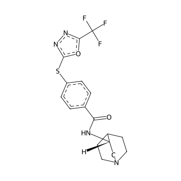 O=C(N[C@H]1CN2CCC1CC2)c1ccc(Sc2nnc(C(F)(F)F)o2)cc1